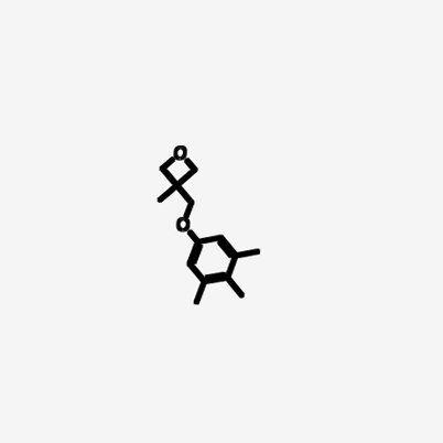 Cc1cc(OCC2(C)COC2)cc(C)c1C